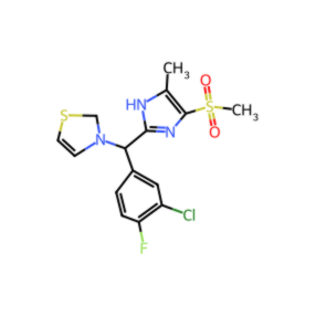 Cc1[nH]c(C(c2ccc(F)c(Cl)c2)N2C=CSC2)nc1S(C)(=O)=O